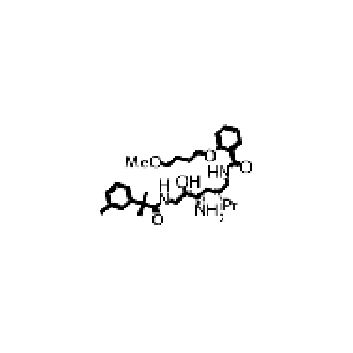 COCCCCOc1ccccc1C(=O)NC[C@@H](C[C@H](N)[C@@H](O)CNC(=O)C(C)(C)c1cccc(C)c1)C(C)C